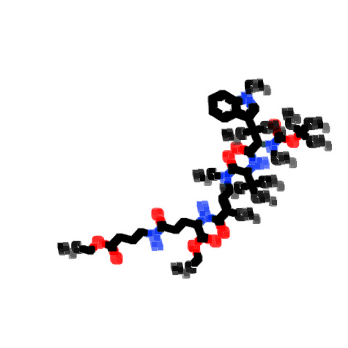 CCOC(=O)CCCNC(=O)CCC(NC(=O)/C(C)=C/CN(C)C(=O)C(NC(=O)[C@@H](N(C)C(=O)OC(C)(C)C)C(C)(C)c1cn(C)c2ccccc12)C(C)(C)C)C(=O)OCC